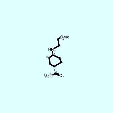 COCCN[C@H]1CC[C@H](C(=O)OC)CC1